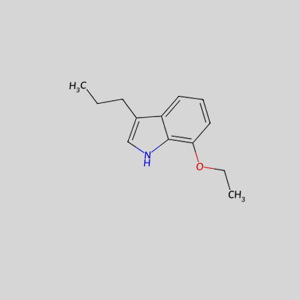 CCCc1c[nH]c2c(OCC)cccc12